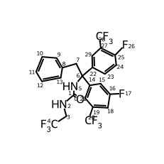 O=C(NCC(F)(F)F)NC(Cc1ccccc1)(c1cc(F)cc(C(F)(F)F)c1)c1ccc(F)c(C(F)(F)F)c1